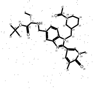 CC[C@H](NCc1ccc2c(c1)nc(-c1cc(C)c(=O)n(C)c1)n2CC1CCCN(C(C)=O)C1)C(=O)OC(C)(C)C